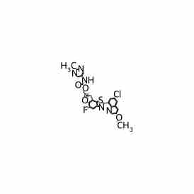 CCOc1cnc2c(-c3nc4cc(F)c5c(c4s3)C[C@H](COC(=O)Nc3cnc(C)nc3)O5)cc(Cl)cc2c1